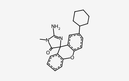 CN1C(=O)C2(N=C1N)c1ccccc1Oc1ccc(C3CCCCC3)cc12